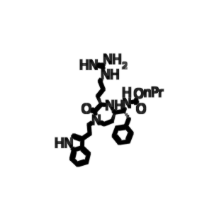 CCCOC(=O)N[C@H](Cc1ccccc1)[C@H]1CCN(CCc2c[nH]c3ccccc23)C(=O)[C@@H](CCCNC(=N)N)N1